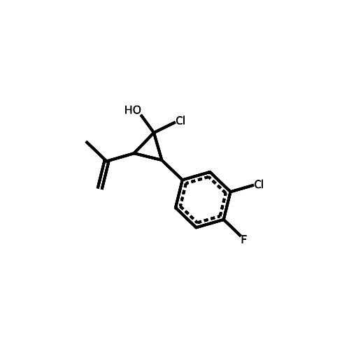 C=C(C)C1C(c2ccc(F)c(Cl)c2)C1(O)Cl